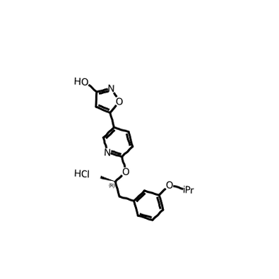 CC(C)Oc1cccc(C[C@@H](C)Oc2ccc(-c3cc(O)no3)cn2)c1.Cl